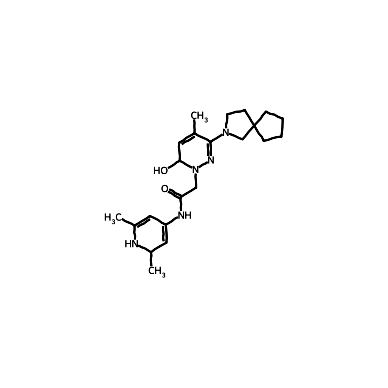 CC1=CC(NC(=O)CN2N=C(N3CCC4(CCCC4)C3)C(C)=CC2O)=CC(C)N1